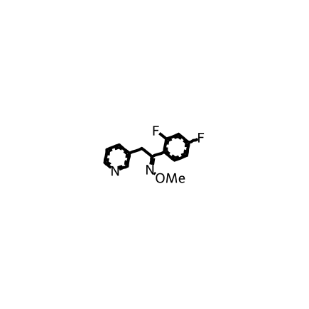 CON=C(Cc1cccnc1)c1ccc(F)cc1F